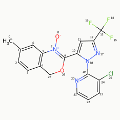 Cc1ccc2c(c1)[N+]([O-])=C(c1cc(C(F)(F)F)nn1-c1ncccc1Cl)OC2